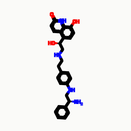 N[C@@H](CNc1ccc(CCNC[C@H](O)c2ccc(O)c3[nH]c(=O)ccc23)cc1)c1ccccc1